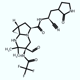 CC1(C)N[C@@]23C[C@@H]2C[C@@H](C(=O)N[C@H](C#N)CC2CCNC2=O)N3C[C@@]1(C=O)NC(=O)C(F)(F)F